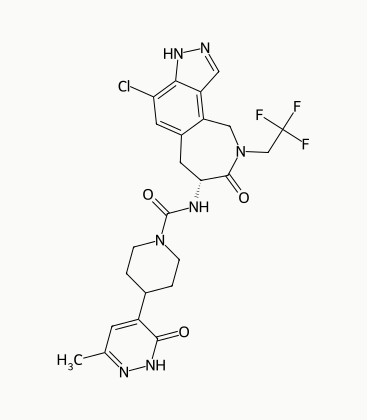 Cc1cc(C2CCN(C(=O)N[C@@H]3Cc4cc(Cl)c5[nH]ncc5c4CN(CC(F)(F)F)C3=O)CC2)c(=O)[nH]n1